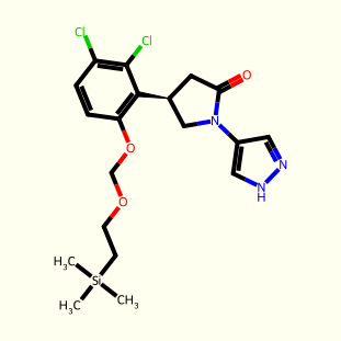 C[Si](C)(C)CCOCOc1ccc(Cl)c(Cl)c1[C@H]1CC(=O)N(c2cn[nH]c2)C1